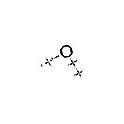 C1=CCCC=CCC1.CCCC.F[B-](F)(F)F.F[B-](F)(F)F.F[B-](F)(F)F.[Rh+3]